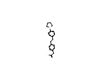 C=C(N)Cc1ccc(CCc2ccc(N3CCCC3)cc2)cc1